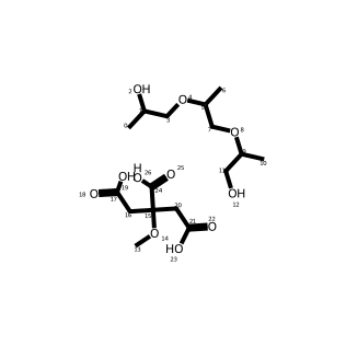 CC(O)COC(C)COC(C)CO.COC(CC(=O)O)(CC(=O)O)C(=O)O